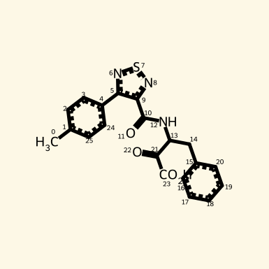 Cc1ccc(-c2nsnc2C(=O)NC(Cc2ccccc2)C(=O)C(=O)O)cc1